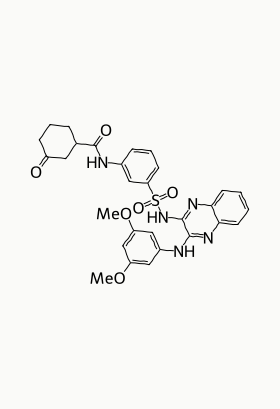 COc1cc(Nc2nc3ccccc3nc2NS(=O)(=O)c2cccc(NC(=O)C3CCCC(=O)C3)c2)cc(OC)c1